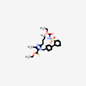 CCCCc1nc(C)c(C(=S)OCC)n1Cc1ccc(-c2ccccc2S(=O)(=O)NC(=O)OCC)cc1